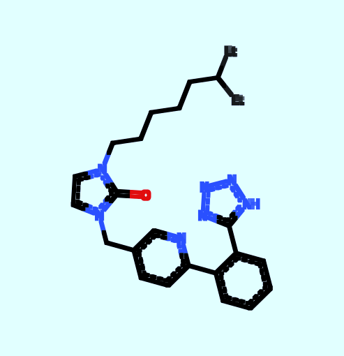 CCC(CC)CCCCCn1ccn(Cc2ccc(-c3ccccc3-c3nnn[nH]3)nc2)c1=O